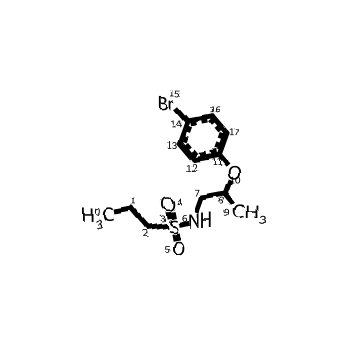 CCCS(=O)(=O)NCC(C)Oc1ccc(Br)cc1